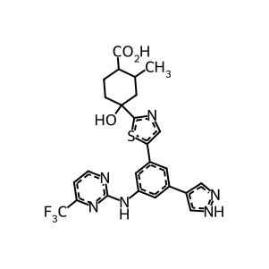 CC1CC(O)(c2ncc(-c3cc(Nc4nccc(C(F)(F)F)n4)cc(-c4cn[nH]c4)c3)s2)CCC1C(=O)O